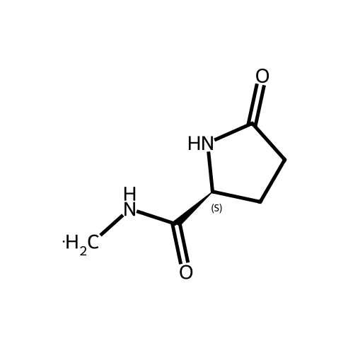 [CH2]NC(=O)[C@@H]1CCC(=O)N1